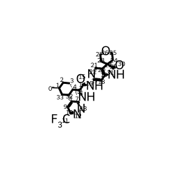 C[C@H]1CC[C@H]([C@H](Nc2ccc(C(F)(F)F)nn2)C(=O)Nc2cc3c(cn2)C2(CCOCC2)C(=O)N3)CC1